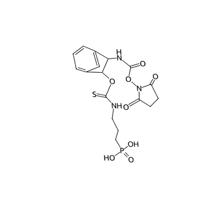 O=C(NC1c2cccc(c2)C1OC(=S)NCCCP(=O)(O)O)ON1C(=O)CCC1=O